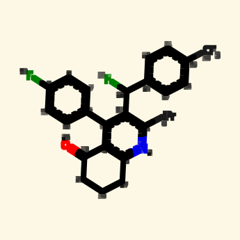 CC(C)c1nc2c(c(-c3ccc(F)cc3)c1C(F)c1ccc(C(F)(F)F)cc1)C(=O)CCC2